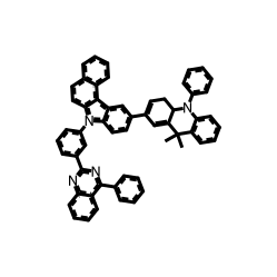 CC1(C)C2=CC(c3ccc4c(c3)c3c5ccccc5ccc3n4-c3cccc(-c4nc(-c5ccccc5)c5ccccc5n4)c3)=CCC2N(c2ccccc2)c2ccccc21